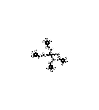 COc1cc(C(=O)OOC(=O)OCCC(COC(=O)OOC(=O)c2cc(OC)c(OC)c(OC)c2)C(CCOC(=O)OOC(=O)c2cc(OC)c(OC)c(OC)c2)COC(=O)OOC(=O)c2cc(OC)c(OC)c(OC)c2)cc(OC)c1OC